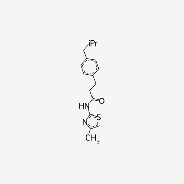 Cc1csc(NC(=O)CCc2ccc(CC(C)C)cc2)n1